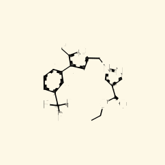 CCOC(=O)c1cnn(Cc2cc(-c3cccc(C(F)(F)F)c3)c(C)o2)c1